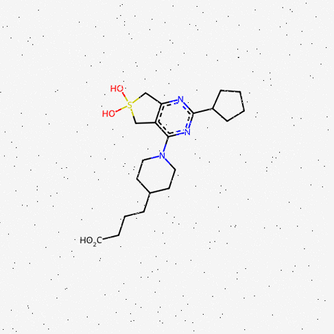 O=C(O)CCCC1CCN(c2nc(C3CCCC3)nc3c2CS(O)(O)C3)CC1